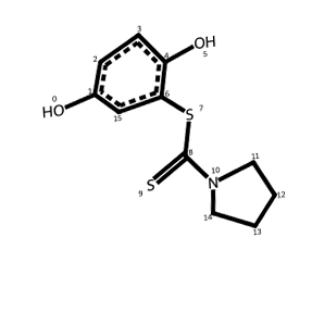 Oc1ccc(O)c(SC(=S)N2CCCC2)c1